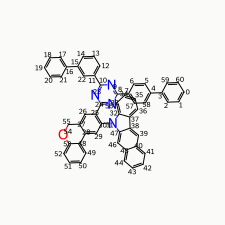 c1ccc(-c2ccc(-c3nc(-c4cccc(-c5ccccc5)c4)nc(-c4cc5c(cc4-n4c6ccccc6c6cc7ccccc7cc64)-c4ccccc4OC5)n3)cc2)cc1